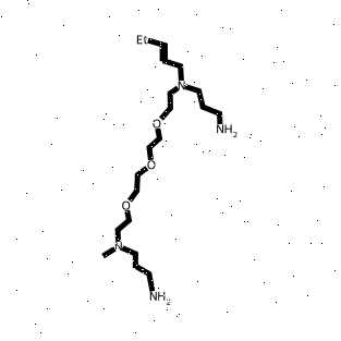 CCC=CCN(CCCN)CCOCCOCCOCCN(C)CCCN